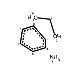 CCO.N.c1ccccc1